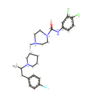 CC(Cc1ccc(F)cc1)N1CCC[C@@H](CN2CCN(C(=O)Nc3ccc(Cl)c(Cl)c3)CC2)C1